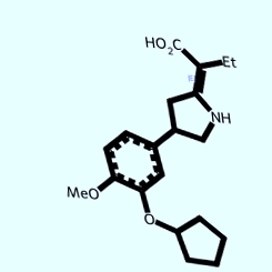 CC/C(C(=O)O)=C1/CC(c2ccc(OC)c(OC3CCCC3)c2)CN1